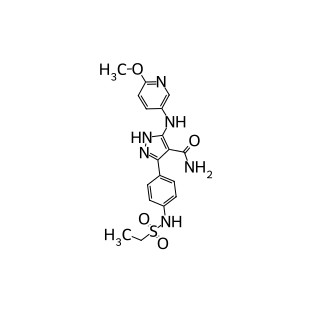 CCS(=O)(=O)Nc1ccc(-c2n[nH]c(Nc3ccc(OC)nc3)c2C(N)=O)cc1